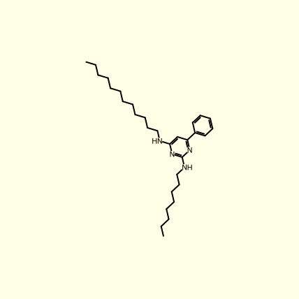 CCCCCCCCCCCCNc1cc(-c2ccccc2)nc(NCCCCCCCC)n1